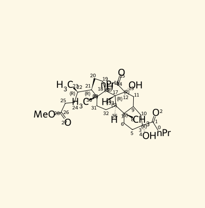 CCCC(=O)[C@@]1(O)CC[C@@]2(C)C(C1)C[C@](O)(C(=O)CCC)[C@H]1[C@@H]3CC[C@H]([C@H](C)CCC(=O)OC)[C@@]3(C)CC[C@@H]12